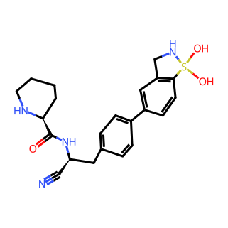 N#C[C@H](Cc1ccc(-c2ccc3c(c2)CNS3(O)O)cc1)NC(=O)[C@@H]1CCCCN1